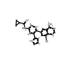 Cc1ncnc2c(Cl)cc(-c3nnc(NC(=O)C4CC4)nc3-c3ccco3)cc12